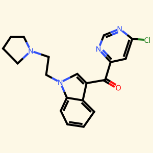 O=C(c1cc(Cl)ncn1)c1cn(CCN2CCCC2)c2ccccc12